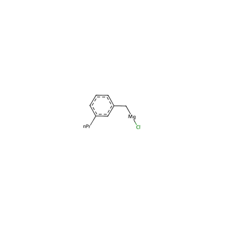 CCCc1cccc([CH2][Mg][Cl])c1